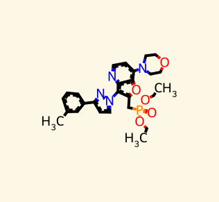 CCOP(=O)(Cc1oc2c(N3CCOCC3)ccnc2c1-n1ccc(-c2cccc(C)c2)n1)OCC